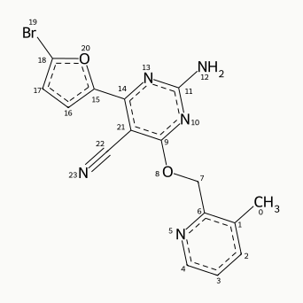 Cc1cccnc1COc1nc(N)nc(-c2ccc(Br)o2)c1C#N